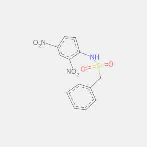 O=[N+]([O-])c1ccc(NS(=O)(=O)Cc2ccccc2)c([N+](=O)[O-])c1